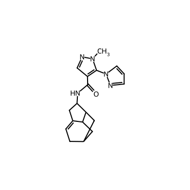 Cn1ncc(C(=O)NC2CC3=CCC4CC3C2C4)c1-n1cccn1